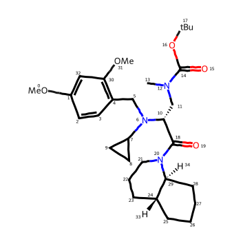 COc1ccc(CN(C2CC2)[C@H](CN(C)C(=O)OC(C)(C)C)C(=O)N2CCC[C@H]3CCCC[C@@H]32)c(OC)c1